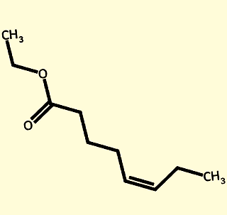 CC/C=C\CCCC(=O)OCC